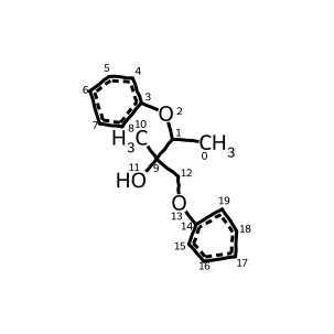 CC(Oc1ccccc1)C(C)(O)COc1ccccc1